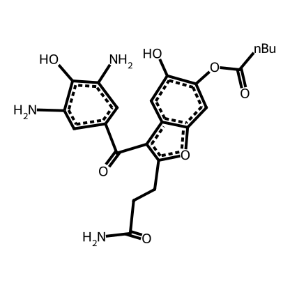 CCCCC(=O)Oc1cc2oc(CCC(N)=O)c(C(=O)c3cc(N)c(O)c(N)c3)c2cc1O